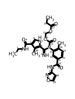 CCNC(=O)c1c[nH]c(C(=N)N(C(=O)OCOC(=O)CC)c2cc(C(=O)Nc3ccon3)ccc2C)c1C